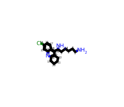 NCCCCCC(N)c1c2c(nc3cc(Cl)ccc13)CCCC2